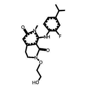 CC(C)c1ccc(Nc2c3c(cc(=O)n2C)CCN(OCCO)C3=O)c(F)c1